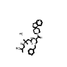 CC(O)CNC(C)(C)CC(=O)NC(COCc1ccccc1)C(=O)N1CCC2(CCc3ccccc32)CC1.Cl